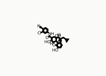 N#Cc1ccc(NC(=O)C2=C(O)[C@@H]3Oc4c(O)ccc5c4[C@@]34CCN(CC3CC3)[C@H](C5)[C@]4(O)C2)cc1Cl